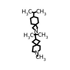 CC(C)C1CCC2(CC1)CN(C(C)(C)C1CC3(CCN(C)CC3)C1)C2